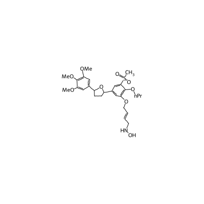 CCCOc1c(OCC=CCNO)cc(C2CCC(c3cc(OC)c(OC)c(OC)c3)O2)cc1S(C)(=O)=O